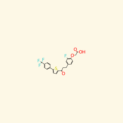 O=C(O)COc1ccc(CCC(=O)c2ccc(-c3ccc(C(F)(F)F)cc3)s2)cc1F